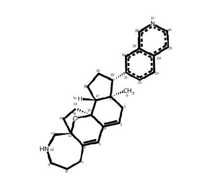 C[C@]12CC=C3C=C4CCCNC[C@]45CC[C@]3(O5)[C@@H]1CC[C@@H]2c1ccc2ccncc2c1